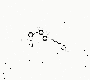 COc1cc(C(=O)N(C)c2ccc(C)cc2OCCCCCC(=O)N2CCN(C)CC2)ccc1C(=O)Nc1cccc2c1nc(-n1ccnc1)n2C